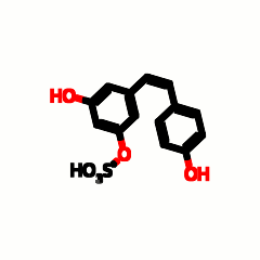 O=S(=O)(O)Oc1cc(O)cc(/C=C\c2ccc(O)cc2)c1